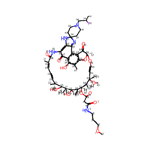 COCCCNC(=O)CC(=O)O[C@H]1[C@H](C)[C@H](O)[C@H](C)[C@@H](O)[C@@H](C)/C=C/C=C(/C)C(=O)NC2=C3NC4(CCN(CC(C)I)CC4)N=C3c3c(c(O)c(C)c4c3C(=O)[C@@](C)(O/C=C/[C@H](OC)[C@H]1C)O4)C2=O